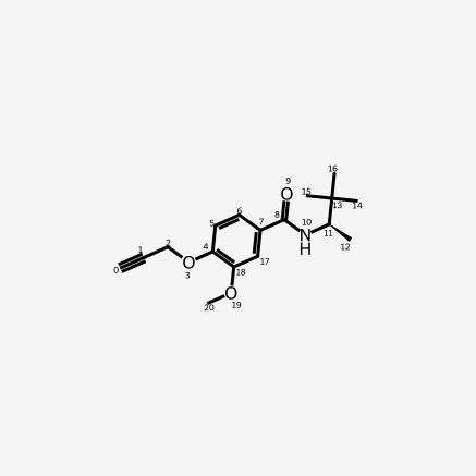 C#CCOc1ccc(C(=O)N[C@H](C)C(C)(C)C)cc1OC